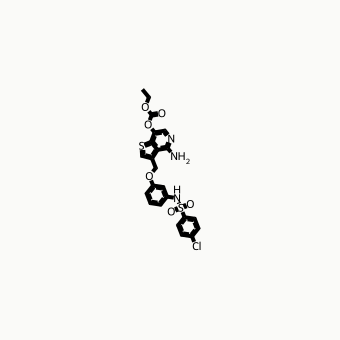 CCOC(=O)Oc1cnc(N)c2c(COc3cccc(NS(=O)(=O)c4ccc(Cl)cc4)c3)csc12